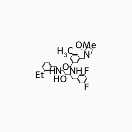 CCc1cccc(CNC[C@H](O)[C@H](Cc2cc(F)cc(F)c2)NC(=O)c2cc(C)cc(CN3CCC[C@H]3COC)c2)c1